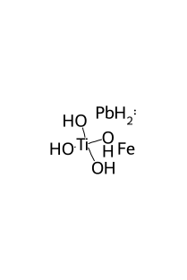 [Fe].[OH][Ti]([OH])([OH])[OH].[PbH2]